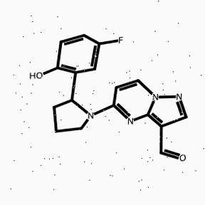 O=Cc1cnn2ccc(N3CCCC3c3cc(F)ccc3O)nc12